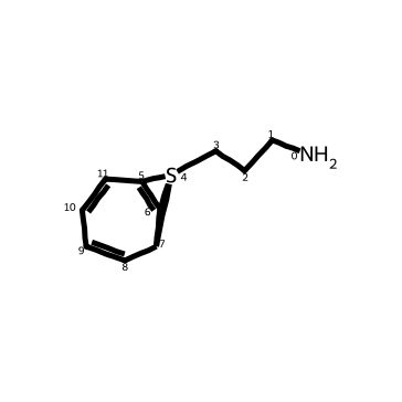 NCCCS12C3=C1C2C=CC=C3